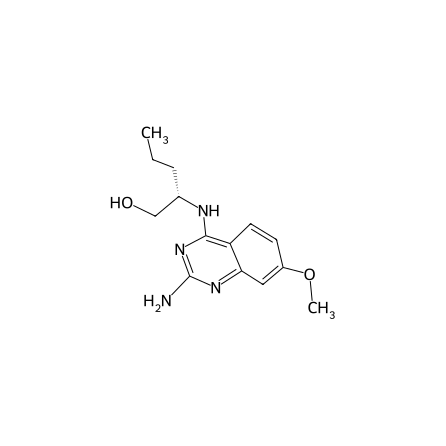 CCC[C@@H](CO)Nc1nc(N)nc2cc(OC)ccc12